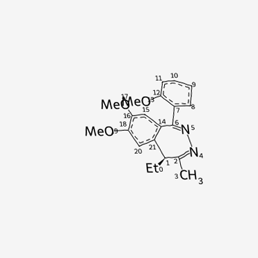 CC[C@@H]1C(C)=NN=C(c2ccccc2OC)c2cc(OC)c(OC)cc21